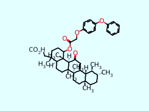 C[C@H]1[C@H](C)CC[C@]2(C)CC[C@]3(C)C(=CC(=O)[C@@H]4[C@@]5(C)C(OC(=O)COc6ccc(Oc7ccccc7)cc6)CCC(C)(CC(=O)O)[C@@H]5CC[C@]43C)[C@H]12